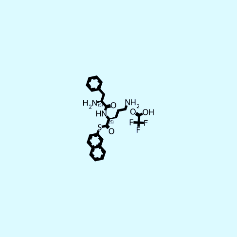 NCCC[C@H](NC(=O)[C@@H](N)Cc1ccccc1)C(=O)Sc1ccc2ccccc2c1.O=C(O)C(F)(F)F